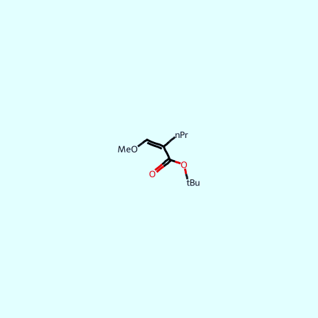 CCCC(=COC)C(=O)OC(C)(C)C